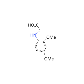 COc1ccc(NCC(=O)O)c(OC)c1